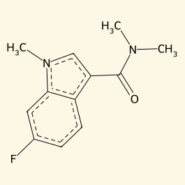 CN(C)C(=O)c1cn(C)c2cc(F)ccc12